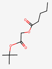 CCCCC(=O)OCC(=O)OC(C)(C)C